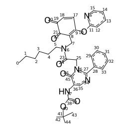 CCCCCCN(CC1=C(Oc2ccccn2)C=CC(=O)C1=O)C(=O)Cn1c(-c2ccccc2)ncc(NC(=O)OC(C)(C)C)c1=O